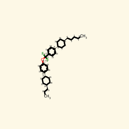 CCCCC[C@H]1CC[C@H](c2ccc(C(F)(F)Oc3ccc([C@H]4CC[C@H](CCC)CC4)cc3)cc2)CC1